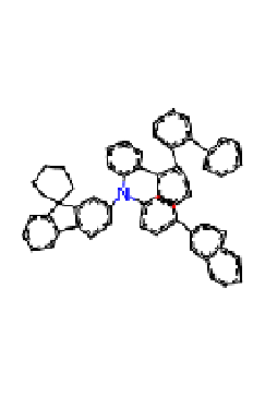 c1ccc(-c2ccccc2-c2ccccc2-c2ccccc2N(c2ccc(-c3ccc4ccccc4c3)cc2)c2ccc3c(c2)C2(CCCCC2)c2ccccc2-3)cc1